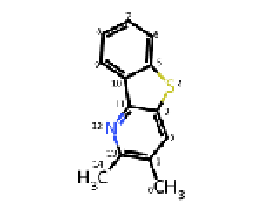 Cc1cc2sc3ccccc3c2nc1C